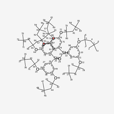 CC(C)(C)CC(C)(C)Oc1cc(OC(C)(C)CC(C)(C)C)cc([SiH](O[SiH](c2cc(OC(C)(C)CC(C)(C)C)cc(OC(C)(C)CC(C)(C)C)c2)c2cc(OC(C)(C)CC(C)(C)C)cc(OC(C)(C)CC(C)(C)C)c2)c2cc(OC(C)(C)CC(C)(C)C)cc(OC(C)(C)CC(C)(C)C)c2)c1